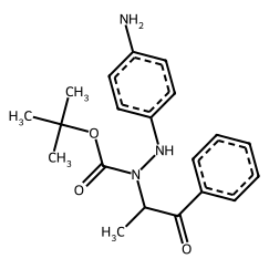 CC(C(=O)c1ccccc1)N(Nc1ccc(N)cc1)C(=O)OC(C)(C)C